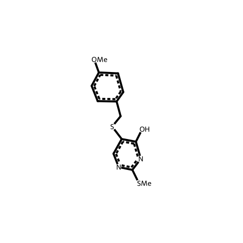 COc1ccc(CSc2cnc(SC)nc2O)cc1